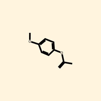 C=C(C)Oc1ccc(OC)cc1